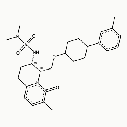 Cc1cccc(C2CCC(OC[C@H]3[C@@H](NS(=O)(=O)N(C)C)CCc4ccc(C)c(=O)n43)CC2)c1